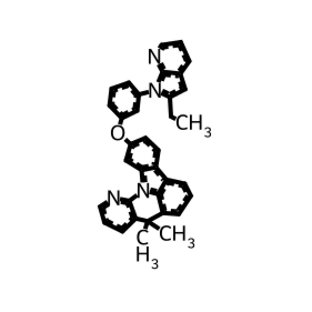 CCc1cc2cccnc2n1-c1cccc(Oc2ccc3c4cccc5c4n(c3c2)-c2ncccc2C5(C)C)c1